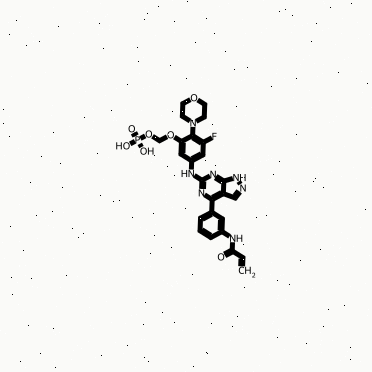 C=CC(=O)Nc1cccc(-c2nc(Nc3cc(F)c(N4CCOCC4)c(OCOP(=O)(O)O)c3)nc3[nH]ncc23)c1